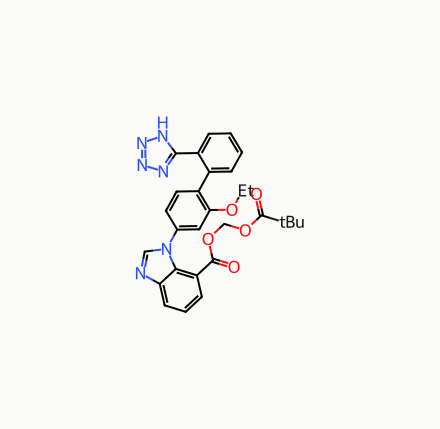 CCOc1cc(-n2cnc3cccc(C(=O)OCOC(=O)C(C)(C)C)c32)ccc1-c1ccccc1-c1nnn[nH]1